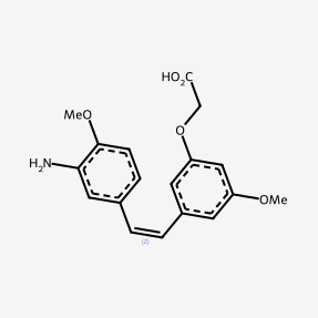 COc1cc(/C=C\c2ccc(OC)c(N)c2)cc(OCC(=O)O)c1